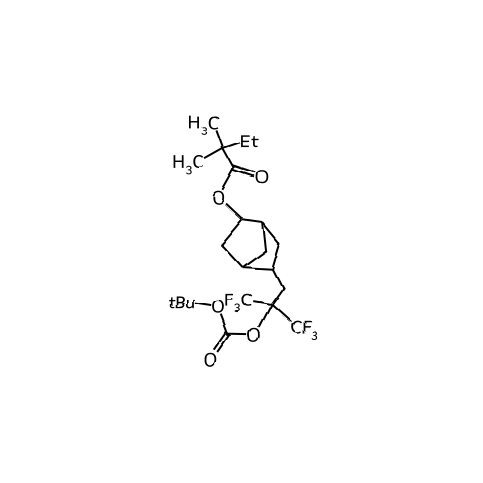 CCC(C)(C)C(=O)OC1CC2CC1CC2CC(OC(=O)OC(C)(C)C)(C(F)(F)F)C(F)(F)F